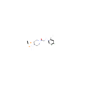 C=CS(=O)(=O)NC1CCN(C(=O)CNc2cc(Cl)c(Cl)cc2C(F)(F)F)CC1